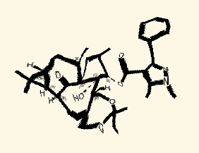 CC1=C[C@]23C(=O)[C@@H](C=C4COC(C)(C)O[C@H]4[C@]2(O)[C@H]1OC(=O)c1c(-c2ccccc2)nn(C)c1C)[C@H]1[C@@H](C[C@H]3C)C1(C)C